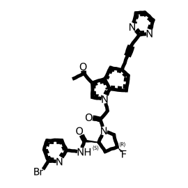 CC(=O)c1cn(CC(=O)N2C[C@H](F)C[C@H]2C(=O)Nc2cccc(Br)n2)c2ccc(C#Cc3ncccn3)cc12